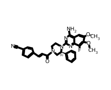 COc1cc2c(N)nc(N3CCN(C(=O)C=Cc4ccc(C#N)cc4)C[C@@H]3c3ccccc3)nc2c(F)c1OC